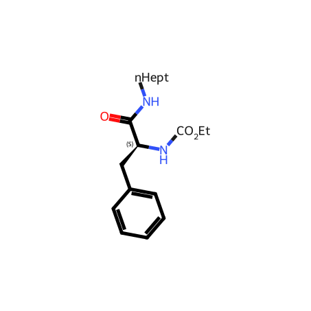 CCCCCCCNC(=O)[C@H](Cc1ccccc1)NC(=O)OCC